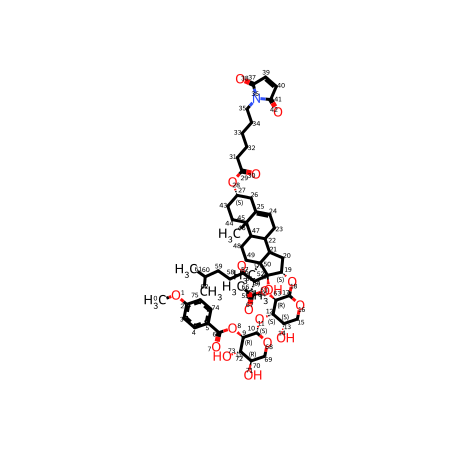 COc1ccc(C(=O)O[C@H]2[C@H](O[C@H]3[C@@H](O)COC(O[C@H]4CC5C6CC=C7C[C@@H](OC(=O)CCCCCN8C(=O)C=CC8=O)CCC7(C)C6CC[C@]5(C)[C@@]4(O)[C@H](C)C(=O)CCC(C)C)[C@@H]3OC(C)=O)OC[C@@H](O)[C@@H]2O)cc1